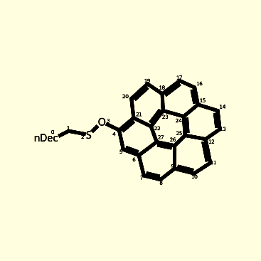 CCCCCCCCCCCSOc1cc2ccc3ccc4ccc5ccc6ccc1c1c6c5c4c3c21